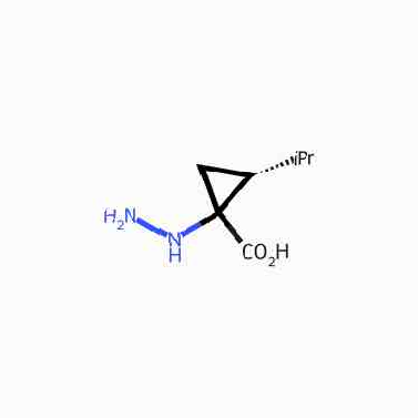 CC(C)[C@H]1CC1(NN)C(=O)O